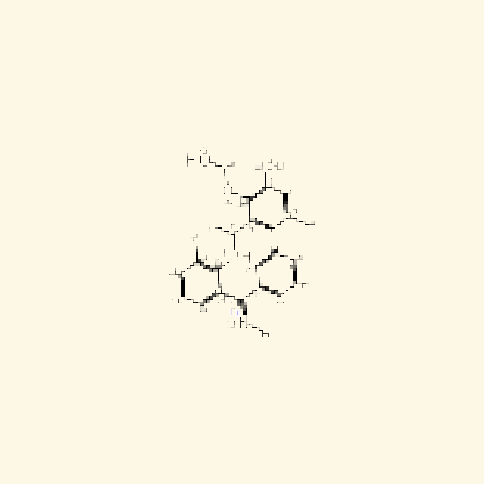 CCC(C)c1cc(C)cc(C(C)Pc2c(C)cccc2/C(=N/C)c2ccccc2)c1OCO